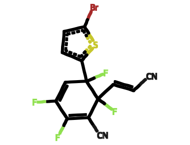 N#CC=CC1(F)C(C#N)=C(F)C(F)=CC1(F)c1ccc(Br)s1